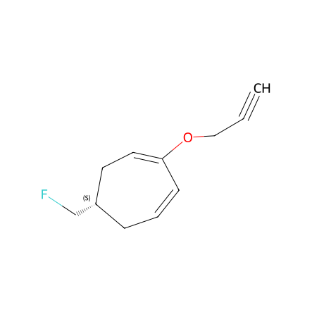 C#CCOC1=CC[C@@H](CF)CC=C1